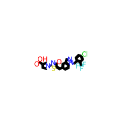 O=C1N=C(N2CCC(C(=O)O)C2)SC1=Cc1ccc2c(cnn2Cc2ccc(Cl)cc2C(F)(F)F)c1